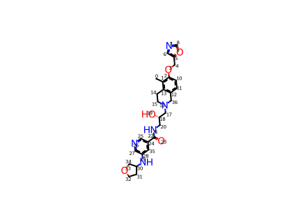 Cc1c(OCc2cnco2)ccc2c1CCN(C[C@@H](O)CNC(=O)c1cncc(NC3CCOC3)c1)C2